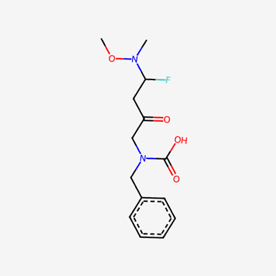 CON(C)C(F)CC(=O)CN(Cc1ccccc1)C(=O)O